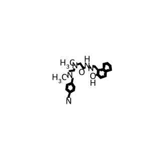 CN(CCN(C)Cc1ccc(C#N)cc1)CC(=O)NN=Cc1c(O)ccc2ccccc12